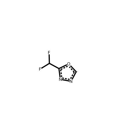 FC(F)c1nn[c]o1